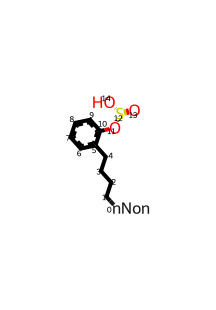 CCCCCCCCCCCCCc1ccccc1OS(=O)O